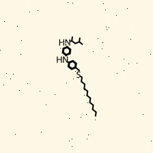 CCCCCCCCCCCCSCc1ccc(Nc2ccc(NC(C)CC(C)C)cc2)cc1